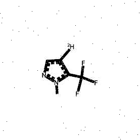 [2H]c1cnn(C)c1C(F)(F)F